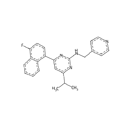 CC(C)c1cc(-c2ccc(F)c3ccccc23)nc(NCc2ccncc2)n1